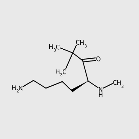 CN[C@@H](CCCCN)C(=O)C(C)(C)C